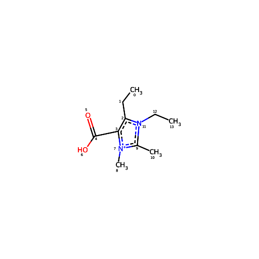 CCc1c(C(=O)O)[n+](C)c(C)n1CC